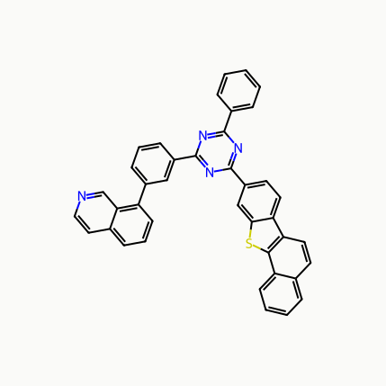 c1ccc(-c2nc(-c3cccc(-c4cccc5ccncc45)c3)nc(-c3ccc4c(c3)sc3c5ccccc5ccc43)n2)cc1